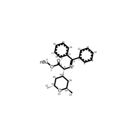 CCCCOC(=O)[C@H](N=C(c1ccccc1)c1ccccc1)C1C[C@@H](C)O[C@H](C)C1